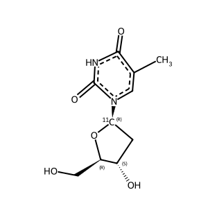 Cc1cn([11C@H]2C[C@H](O)[C@@H](CO)O2)c(=O)[nH]c1=O